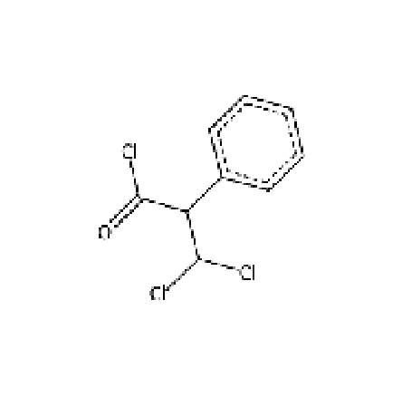 O=C(Cl)C(c1ccccc1)C(Cl)Cl